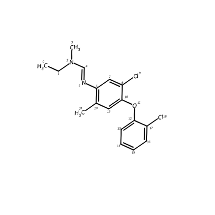 CCN(C)C=Nc1cc(Cl)c(Oc2ccccc2Cl)cc1C